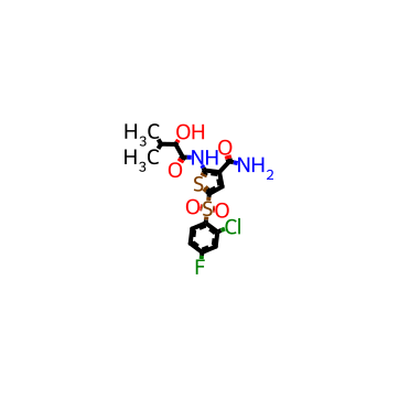 CC(C)C(O)C(=O)Nc1sc(S(=O)(=O)c2ccc(F)cc2Cl)cc1C(N)=O